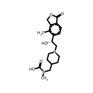 Cc1c([C@@H](O)CN2CCC(CN(C)C(=O)O)CC2)ccc2c1COC2=O